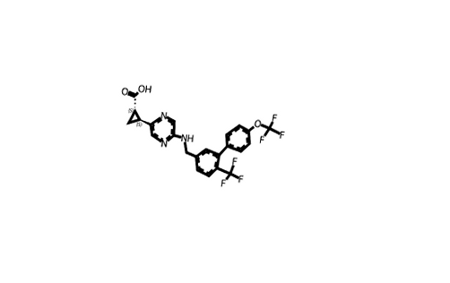 O=C(O)[C@H]1C[C@@H]1c1cnc(NCc2ccc(C(F)(F)F)c(-c3ccc(OC(F)(F)F)cc3)c2)cn1